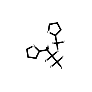 O=C(C1CCCO1)C(F)(OC(F)(F)C1CCCO1)C(F)(F)F